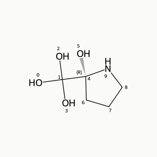 OC(O)(O)[C@]1(O)CCCN1